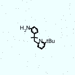 CC(C)(C)c1cccc(CC(C)(C)c2cccc(N)c2)n1